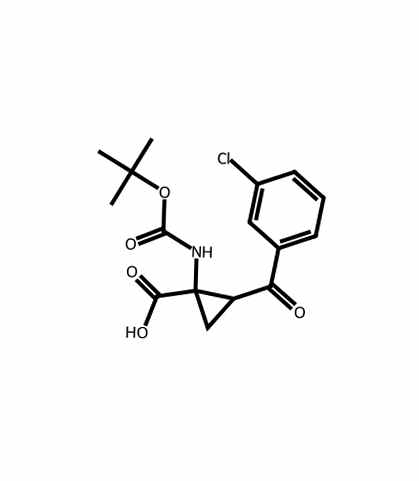 CC(C)(C)OC(=O)NC1(C(=O)O)CC1C(=O)c1cccc(Cl)c1